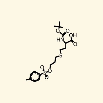 Cc1ccc(S(=O)(=O)OCCCSCC[C@@H](NC(=O)OC(C)(C)C)C(=O)O)cc1